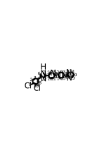 Clc1ccc(-c2c[nH]c(-c3ccc(N4CCN(c5ncccn5)CC4)nc3)n2)cc1Cl